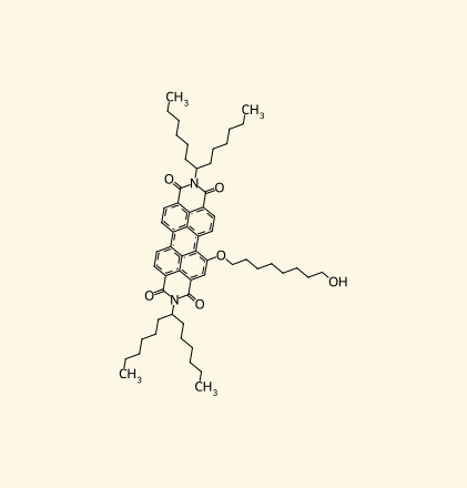 CCCCCCC(CCCCCC)N1C(=O)c2ccc3c4ccc5c6c(cc(OCCCCCCCCO)c(c7ccc(c2c37)C1=O)c64)C(=O)N(C(CCCCCC)CCCCCC)C5=O